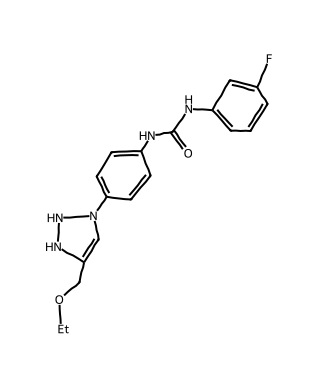 CCOCC1=CN(c2ccc(NC(=O)Nc3cccc(F)c3)cc2)NN1